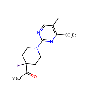 CCOC(=O)c1nc(N2CCC(I)(C(=O)OC)CC2)ncc1C